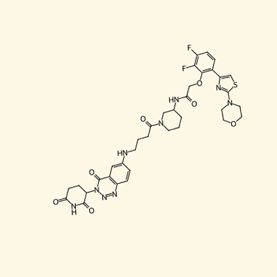 O=C1CCC(n2nnc3ccc(NCCCC(=O)N4CCCC(NC(=O)COc5c(-c6csc(N7CCOCC7)n6)ccc(F)c5F)C4)cc3c2=O)C(=O)N1